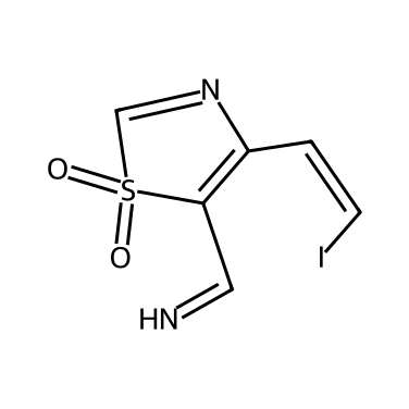 N=CC1=C(/C=C\I)N=CS1(=O)=O